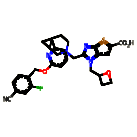 N#Cc1ccc(COc2cccc(C34CCN(Cc5nc6sc(C(=O)O)cc6n5CC5CCO5)CC3C4)n2)c(F)c1